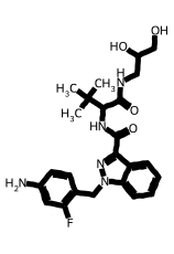 CC(C)(C)C(NC(=O)c1nn(Cc2ccc(N)cc2F)c2ccccc12)C(=O)NCC(O)CO